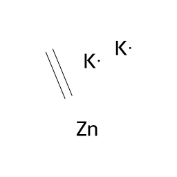 C=C.[K].[K].[Zn]